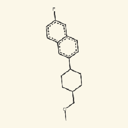 COCC1CCC(c2ccc3cc(F)ccc3c2)CC1